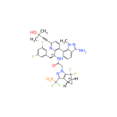 Cn1nc(N)c2cccc(-c3ccc(C#CC(C)(C)O)nc3[C@H](Cc3cc(F)cc(F)c3)NC(=O)Cn3nc(C(F)(F)P)c4c3C(F)(F)[C@@H]3C[C@H]43)c21